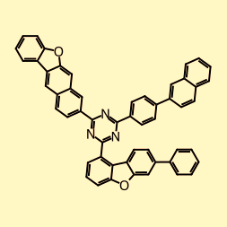 c1ccc(-c2ccc3c(c2)oc2cccc(-c4nc(-c5ccc(-c6ccc7ccccc7c6)cc5)nc(-c5ccc6cc7c(cc6c5)oc5ccccc57)n4)c23)cc1